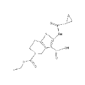 CCOC(=O)C1CCc2sc(NC(=O)C3CC3)c(C(=O)O)c2C1